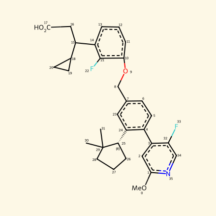 COc1cc(-c2ccc(COc3cccc(C(CC(=O)O)C4CC4)c3F)cc2[C@@H]2CCCC2(C)C)c(F)cn1